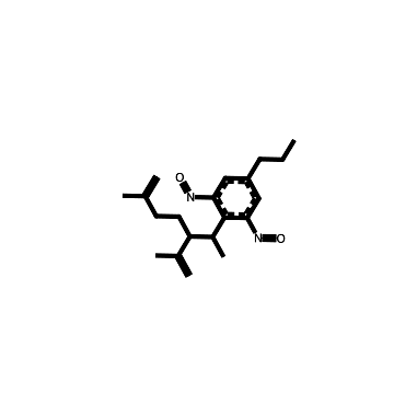 C=C(C)CCC(C(=C)C)C(C)c1c(N=O)cc(CCC)cc1N=O